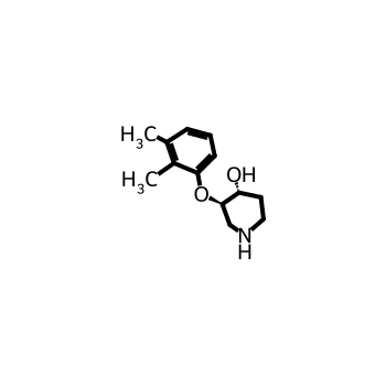 Cc1cccc(O[C@@H]2CNCC[C@H]2O)c1C